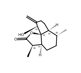 C=C1CC[C@H]2[C@H](C)CC[C@H]3[C@@H](C)C(=O)O[C@@]23[C@H]1O